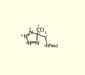 CCCCCCC1(C(Cl)(Cl)Cl)N=NN=N1